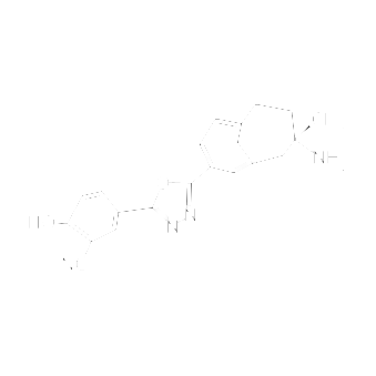 C[C@]1(N)CCC2=CC=C(c3nnc(-c4ccc(O)c(C#N)c4)o3)C=C(C2)C1